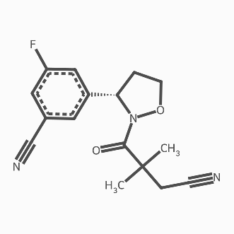 CC(C)(CC#N)C(=O)N1OCC[C@H]1c1cc(F)cc(C#N)c1